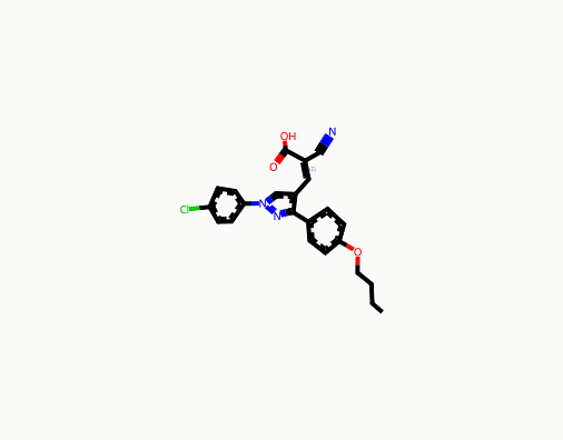 CCCCOc1ccc(-c2nn(-c3ccc(Cl)cc3)cc2/C=C(/C#N)C(=O)O)cc1